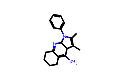 CC1=C(C)N(c2ccccc2)C2N=C3CCCCC3=C(N)C12